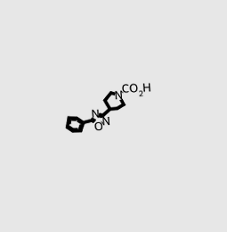 O=C(O)N1CCC(c2noc(-c3ccccc3)n2)CC1